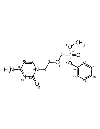 COP(=O)(COCCn1ccc(N)nc1=O)Oc1ccccc1